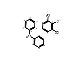 Clc1cccc(Cl)c1Cl.c1ccc(Oc2ccccc2)cc1